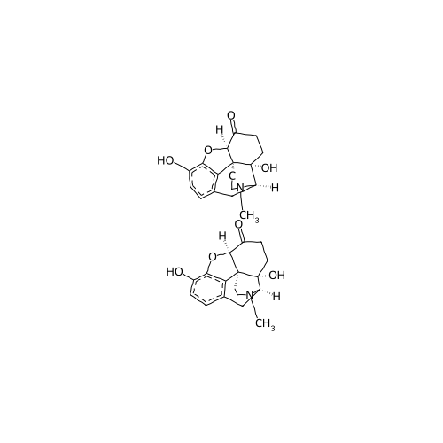 CN1CC[C@]23c4c5ccc(O)c4O[C@H]2C(=O)CC[C@@]3(O)[C@H]1C5.CN1CC[C@]23c4c5ccc(O)c4O[C@H]2C(=O)CC[C@@]3(O)[C@H]1C5